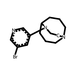 Brc1cncc(N2CCN3CCCC2CCC3)c1